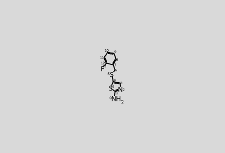 Nc1ncc(SCc2ccccc2F)s1